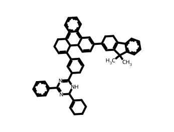 CC1(C)C2=C(CCC(C3=CC4=c5ccccc5=C5CCC=C(C6=CC(C7=NC(c8ccccc8)=NC(C8=CCCCC8)N7)CC=C6)C5C4C=C3)=C2)c2ccccc21